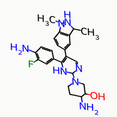 CC1NN(C)c2ccc(C3=C(c4ccc(N)c(F)c4)NC(N4CCC(N)C(O)C4)N=C3)cc21